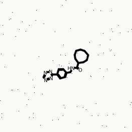 O=C(NCc1ccc(-c2nncnn2)cc1)C1CCCCCCCC1